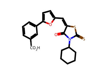 O=C(O)c1cccc(-c2ccc(C=C3SC(=S)N(C4CCCCC4)C3=O)o2)c1